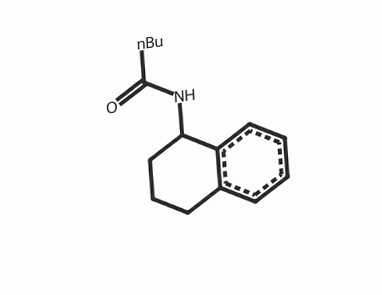 CCCCC(=O)NC1CCCc2ccccc21